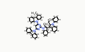 C=Cc1c(-c2c(C)n(-c3nc(-n4c5c(c6ccccc64)C(C)CC=C5)cc(-n4c5ccccc5c5ccccc54)n3)c3ccccc23)c2ccccc2n1-c1ccccc1